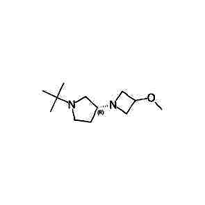 COC1CN([C@@H]2CCN(C(C)(C)C)C2)C1